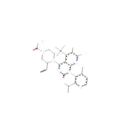 C=CC1CN(C(=O)O)CCN1c1nc(=O)n(-c2c(C)ccnc2C(C)C)c2nc(Cl)c(F)c(C(C)(C)C)c12